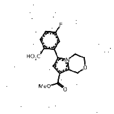 COC(=O)c1cc(-c2cc(F)ccc2C(=O)O)n2c1COCC2